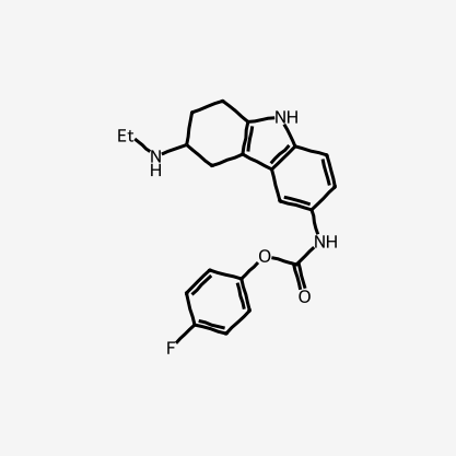 CCNC1CCc2[nH]c3ccc(NC(=O)Oc4ccc(F)cc4)cc3c2C1